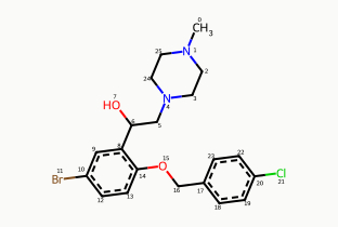 CN1CCN(CC(O)c2cc(Br)ccc2OCc2ccc(Cl)cc2)CC1